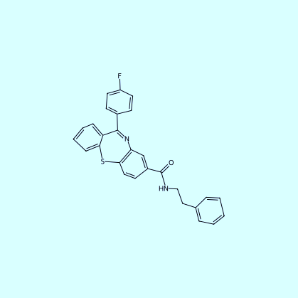 O=C(NCCc1ccccc1)c1ccc2c(c1)N=C(c1ccc(F)cc1)c1ccccc1S2